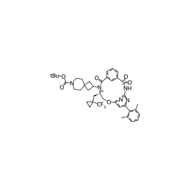 Cc1cccc(C)c1-c1cc2nc(n1)NS(=O)(=O)c1cccc(c1)C(=O)N(C1CC3(CCN(C(=O)OC(C)(C)C)CC3)C1)[C@H](CC1(C(F)(F)F)CC1)CO2